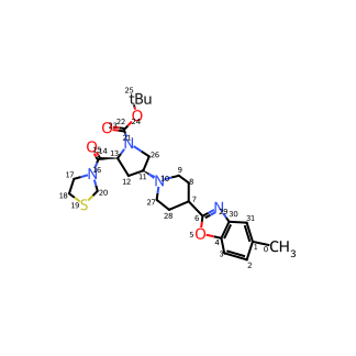 Cc1ccc2oc(C3CCN([C@H]4C[C@@H](C(=O)N5CCSC5)N(C(=O)OC(C)(C)C)C4)CC3)nc2c1